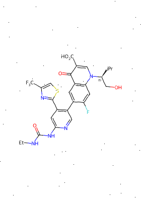 CCNC(=O)Nc1cc(-c2nc(C(F)(F)F)cs2)c(-c2cc3c(=O)c(C(=O)O)cn([C@H](CO)C(C)C)c3cc2F)cn1